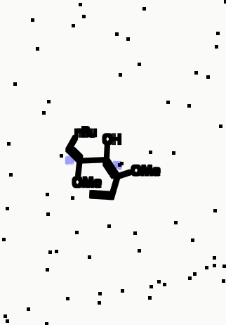 C=C/C(OC)=C(O)\C(=C/CCCC)OC